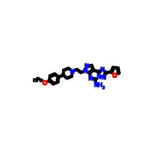 CCCOc1ccc(C2CCN(CCn3ncc4c3nc(N)n3nc(-c5ccco5)nc43)CC2)cc1